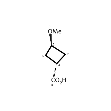 CO[C@H]1C[C@H](C(=O)O)C1